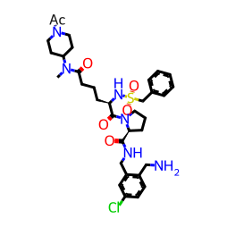 CC(=O)N1CCC(N(C)C(=O)CCC[C@@H](NS(=O)(=O)Cc2ccccc2)C(=O)N2CCC[C@H]2C(=O)NCc2cc(Cl)ccc2CN)CC1